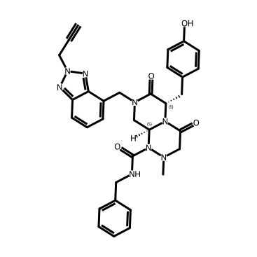 C#CCn1nc2cccc(CN3C[C@H]4N(C(=O)CN(C)N4C(=O)NCc4ccccc4)[C@@H](Cc4ccc(O)cc4)C3=O)c2n1